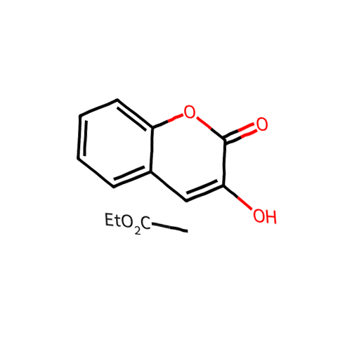 CCOC(C)=O.O=c1oc2ccccc2cc1O